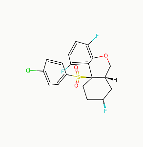 O=S(=O)(c1ccc(Cl)cc1)[C@]12CC[C@H](F)C[C@H]1COc1c(F)ccc(F)c12